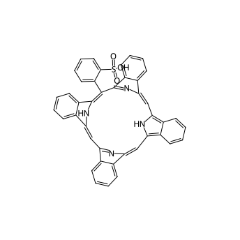 O=S(=O)(O)c1ccccc1-c1c2nc(cc3[nH]c(cc4nc(cc5[nH]c1c1ccccc51)-c1ccccc1-4)c1ccccc31)-c1ccccc1-2